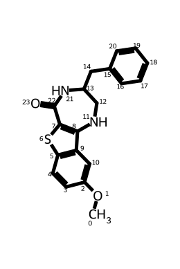 COc1ccc2sc3c(c2c1)NCC(Cc1ccccc1)NC3=O